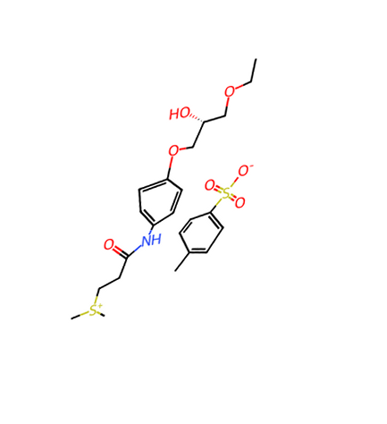 CCOC[C@@H](O)COc1ccc(NC(=O)CC[S+](C)C)cc1.Cc1ccc(S(=O)(=O)[O-])cc1